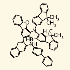 CC1(C)c2ccccc2-c2ccc(N3c4cc5c(cc4Bc4c(-c6cc7ccccc7cc6Nc6ccc(-c7ccccc7)cc6)cc6c(oc7ccccc76)c43)-c3ccccc3C5(C)C)cc21